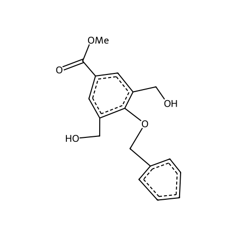 COC(=O)c1cc(CO)c(OCc2ccccc2)c(CO)c1